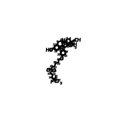 C#C[C@]1(O)CC[C@H]2[C@@H]3CCc4cc(O)ccc4[C@H]3[C@@H](c3ccc(OCCCCCS(=O)(=O)CCCC(F)(F)C(F)(F)F)cc3)C[C@@]21C